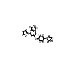 c1csc(CCC(Cn2ccnc2)Sc2ccc(-n3ccnc3)cc2)c1